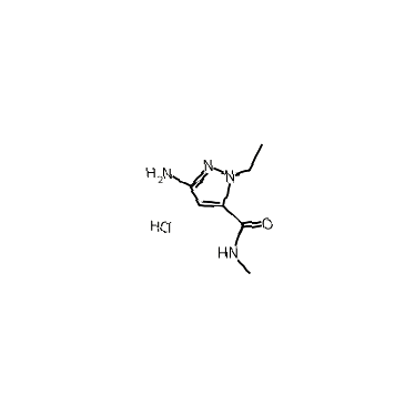 CCn1nc(N)cc1C(=O)NC.Cl